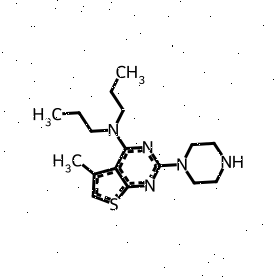 CCCN(CCC)c1nc(N2CCNCC2)nc2scc(C)c12